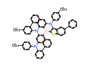 CC(C)(C)c1ccc(N(c2ccc3c(c2)N(c2ccc(C(C)(C)C)cc2-c2ccccc2)c2cccc4c2B3c2sc3ccc(-c5ccccc5)cc3c2N4c2ccc(C(C)(C)C)cc2)c2ccccc2-c2ccccc2)cc1